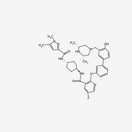 Cc1cc(C(=O)N[C@H]2CC[C@H](NC(=O)c3cc(F)cnc3Oc3cccc(-c4ccc(O)c(CN5C[C@@H](C)N[C@@H](C)C5)c4)c3)CC2)nn1C